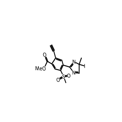 C#Cc1cc(C2=NC(C)(I)C=N2)c(S(C)(=O)=O)cc1C(=O)OC